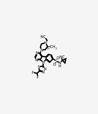 C[C@H]1CN(c2ncnc3c2c2ccc(S(=O)(=O)NC4(C#N)CC4)cc2n3-c2nnc(C(F)F)s2)CCN1CC#N